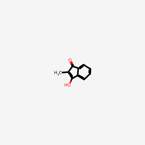 CC1=C(O)c2ccccc2C1=O